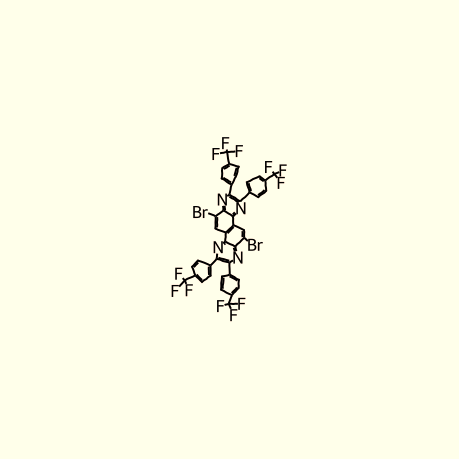 FC(F)(F)c1ccc(-c2nc3c(Br)cc4c(cc(Br)c5nc(-c6ccc(C(F)(F)F)cc6)c(-c6ccc(C(F)(F)F)cc6)nc54)c3nc2-c2ccc(C(F)(F)F)cc2)cc1